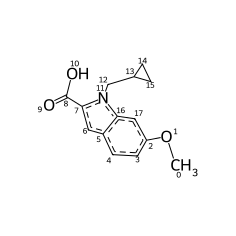 COc1ccc2cc(C(=O)O)n(CC3CC3)c2c1